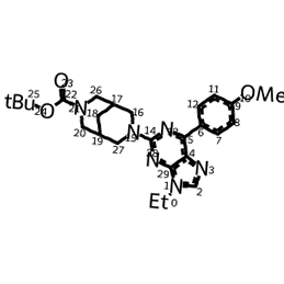 CCn1cnc2c(-c3ccc(OC)cc3)nc(N3CC4CC(CN(C(=O)OC(C)(C)C)C4)C3)nc21